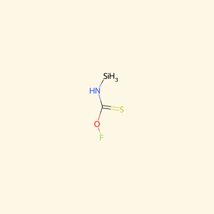 FOC(=S)N[SiH3]